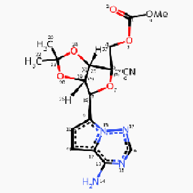 COC(=O)OC[C@@]1(C#N)O[C@@H](c2ccc3c(N)ncnn23)[C@@H]2OC(C)(C)O[C@@H]21